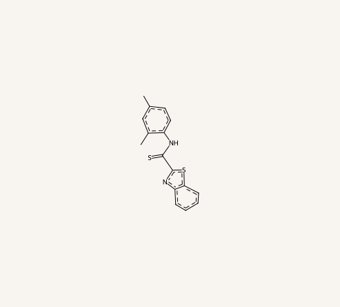 Cc1ccc(NC(=S)c2nc3ccccc3s2)c(C)c1